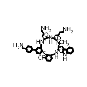 CN1C(=O)[C@H](CCCCN)NC(=O)[C@H](CCCN)NCc2cc(-c3ccc(CN)cc3)ccc2Sc2c(Cl)cccc2CNC(=O)[C@@H]1Cc1c[nH]c2ccccc12